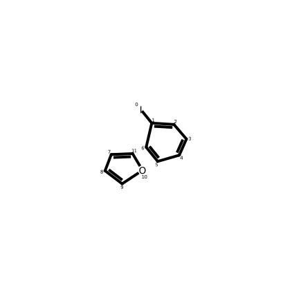 Ic1ccccc1.c1ccoc1